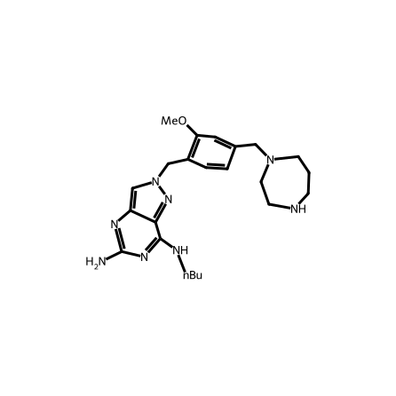 CCCCNc1nc(N)nc2cn(Cc3ccc(CN4CCCNCC4)cc3OC)nc12